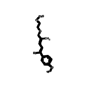 CCCOc1ccc(/C(=C/C=C(\C)COCCOC=O)CC)cc1